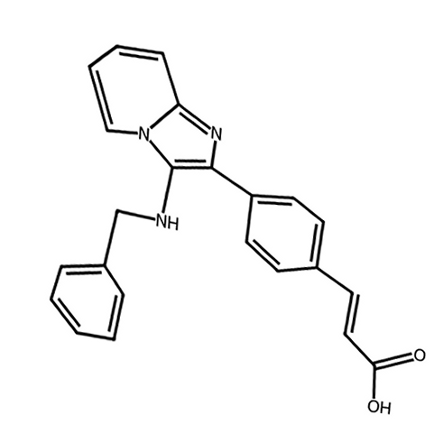 O=C(O)C=Cc1ccc(-c2nc3ccccn3c2NCc2ccccc2)cc1